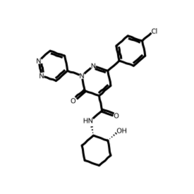 O=C(N[C@H]1CCCC[C@H]1O)c1cc(-c2ccc(Cl)cc2)nn(-c2ccnnc2)c1=O